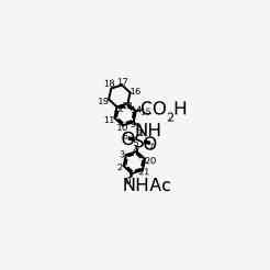 CC(=O)Nc1ccc(S(=O)(=O)Nc2ccc3c(c2C(=O)O)CCCC3)cc1